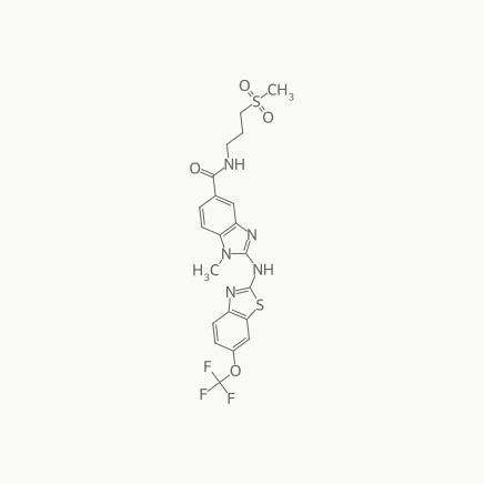 Cn1c(Nc2nc3ccc(OC(F)(F)F)cc3s2)nc2cc(C(=O)NCCCS(C)(=O)=O)ccc21